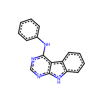 c1ccc(Nc2ncnc3[nH]c4ccccc4c23)cc1